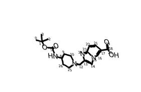 CC(C)(C)OC(=O)NC1CCN(Cc2cn3cc(C(=O)O)ccc3n2)CC1